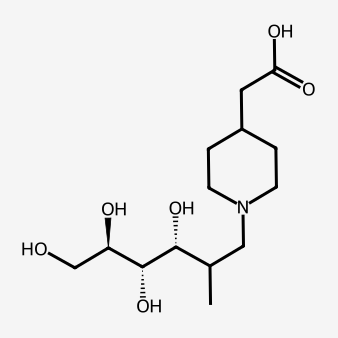 CC(CN1CCC(CC(=O)O)CC1)[C@@H](O)[C@H](O)[C@H](O)CO